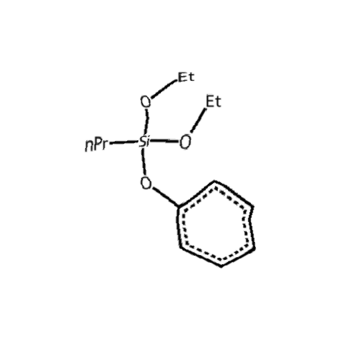 CCC[Si](OCC)(OCC)Oc1ccccc1